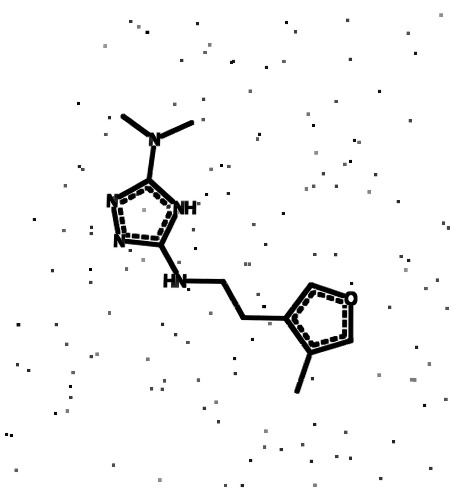 Cc1cocc1CCNc1nnc(N(C)C)[nH]1